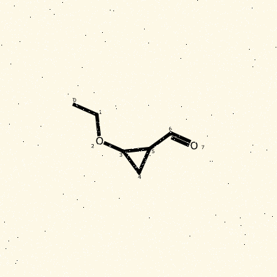 CCOC1CC1[C]=O